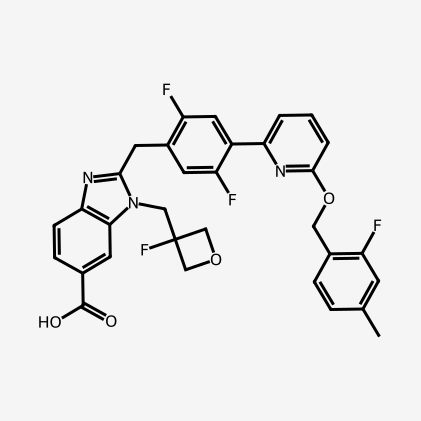 Cc1ccc(COc2cccc(-c3cc(F)c(Cc4nc5ccc(C(=O)O)cc5n4CC4(F)COC4)cc3F)n2)c(F)c1